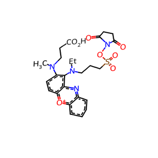 CCN(CCCS(=O)(=O)ON1C(=O)CCC1=O)c1c(N(C)CCC(=O)O)ccc2[o+]c3ccccc3nc12